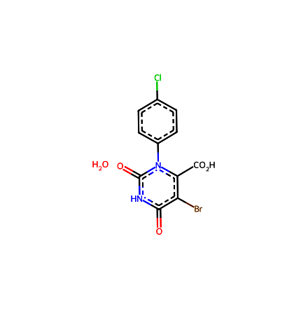 O.O=C(O)c1c(Br)c(=O)[nH]c(=O)n1-c1ccc(Cl)cc1